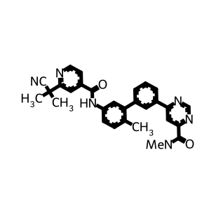 CNC(=O)c1cc(-c2cccc(-c3cc(NC(=O)c4ccnc(C(C)(C)C#N)c4)ccc3C)c2)ncn1